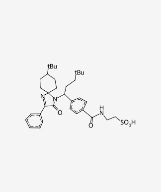 CC(C)(C)CCC(c1ccc(C(=O)NCCS(=O)(=O)O)cc1)N1C(=O)C(c2ccccc2)=NC12CCC(C(C)(C)C)CC2